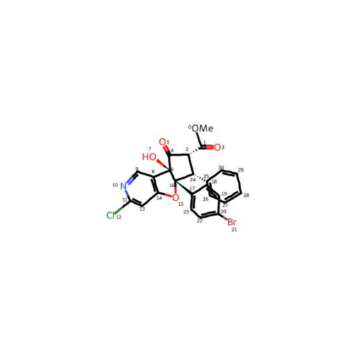 COC(=O)[C@H]1C(=O)[C@@]2(O)c3cnc(Cl)cc3O[C@@]2(c2ccc(Br)cc2)[C@H]1c1ccccc1